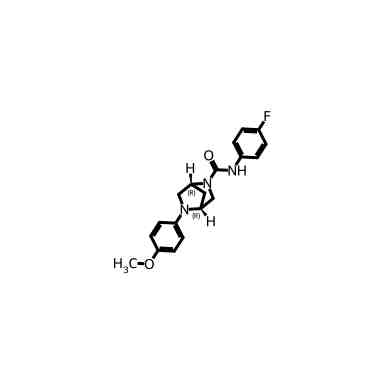 COc1ccc(N2C[C@H]3C[C@@H]2CN3C(=O)Nc2ccc(F)cc2)cc1